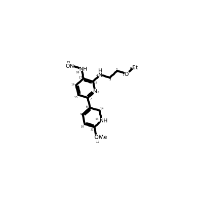 CCOCCNc1nc(C2=CC=C(OC)NC2)ccc1NN=O